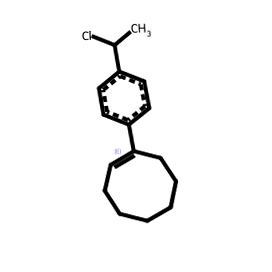 CC(Cl)c1ccc(/C2=C/CCCCCC2)cc1